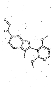 COc1ncnc(OC)c1-c1cc2cc(NC=O)ncc2n1C